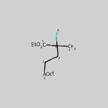 CCCCCCCCCCC(F)(C(=O)OCC)C(F)(F)F